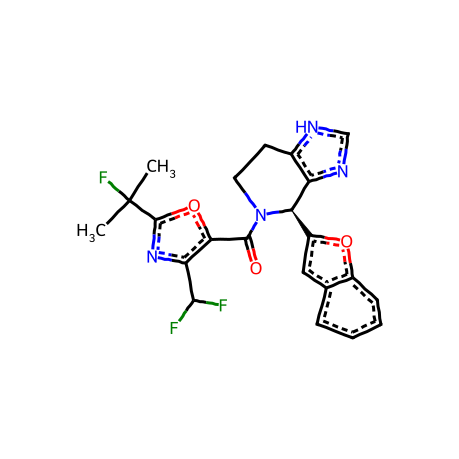 CC(C)(F)c1nc(C(F)F)c(C(=O)N2CCc3[nH]cnc3[C@H]2c2cc3ccccc3o2)o1